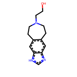 OCCN1CCc2cc3nc[nH]c3cc2CC1